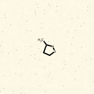 CC1CCS[N]1